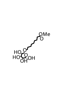 COC(=O)CCCCCCCCO[C@@H]1O[C@H](CO)[C@@H](O)[C@H](O)[C@H]1O